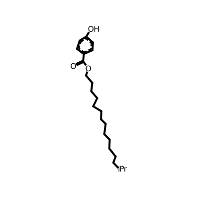 CC(C)CCCCCCCCCCCCCOC(=O)c1ccc(O)cc1